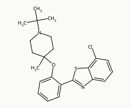 CC1(Oc2ccccc2-c2nc3cccc(Cl)c3s2)CCN(C(C)(C)C)CC1